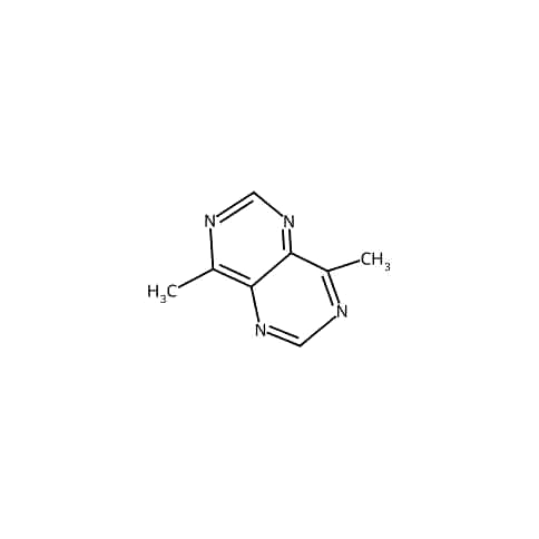 Cc1ncnc2c(C)ncnc12